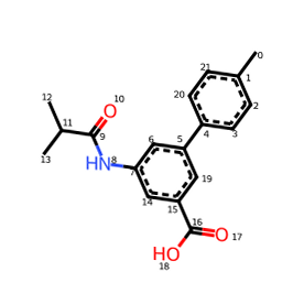 Cc1ccc(-c2cc(NC(=O)C(C)C)cc(C(=O)O)c2)cc1